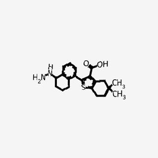 CC1(C)CCc2sc(-c3cccc4c3CCCC4NN)c(C(=O)O)c2C1